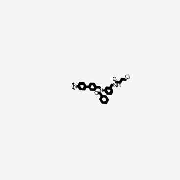 CN(C)c1ccc(-c2ccc(CN(C(=O)C3CCCCC3)c3cccc(CNC(=O)CCCCl)c3)cc2)cc1